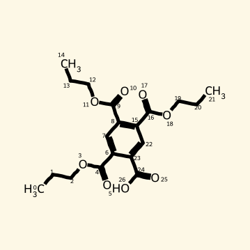 CCCOC(=O)c1cc(C(=O)OCCC)c(C(=O)OCCC)cc1C(=O)O